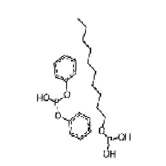 CCCCCCCCCCOP(O)O.OP(Oc1ccccc1)Oc1ccccc1